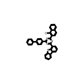 Clc1c(-c2nc(-c3ccc(-c4ccccc4)cc3)nc(-c3cccc4c3sc3ccccc34)n2)ccc2ccccc12